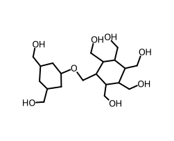 OCC1CC(CO)CC(OCC2C(CO)C(CO)C(CO)C(CO)C2CO)C1